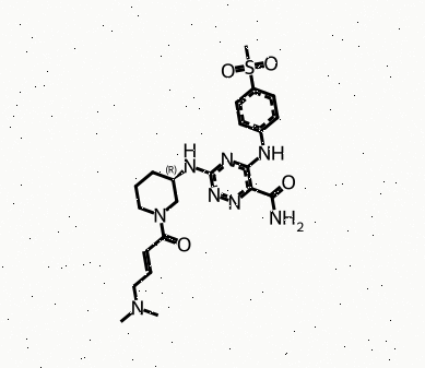 CN(C)CC=CC(=O)N1CCC[C@@H](Nc2nnc(C(N)=O)c(Nc3ccc(S(C)(=O)=O)cc3)n2)C1